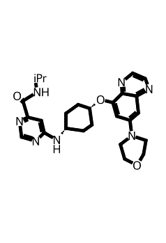 CC(C)NC(=O)c1cc(N[C@H]2CC[C@@H](Oc3cc(N4CCOCC4)cc4nccnc34)CC2)ncn1